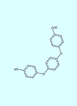 O=Cc1ccc(Oc2ccc(Oc3ccc(O)cc3)cc2)cc1